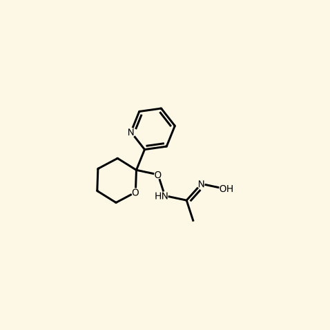 CC(=NO)NOC1(c2ccccn2)CCCCO1